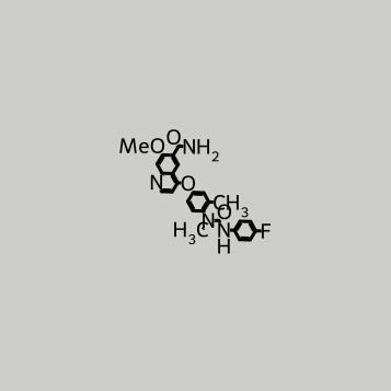 COc1cc2nccc(Oc3ccc(N(C)C(=O)Nc4ccc(F)cc4)c(C)c3)c2cc1C(N)=O